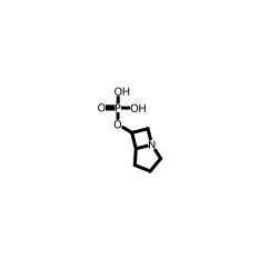 O=P(O)(O)OC1CN2CCCC12